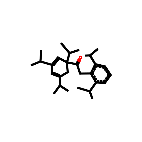 CC(C)C1=CC(C(C)C)=CC(C(=O)Cc2c(C(C)C)cccc2C(C)C)(C(C)C)[CH]1